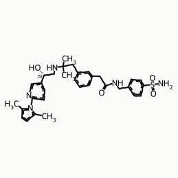 Cc1ccc(C)n1-c1ccc([C@H](O)CNC(C)(C)Cc2cccc(CC(=O)NCc3ccc(S(N)(=O)=O)cc3)c2)cn1